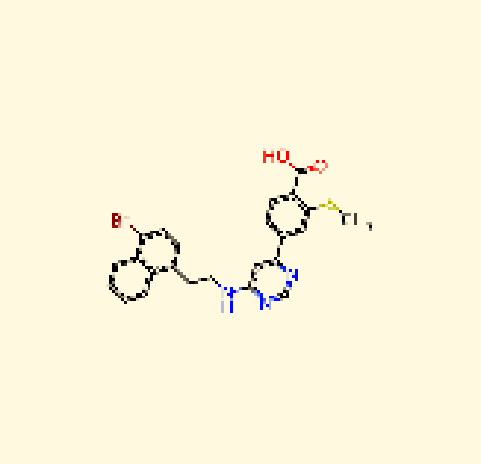 CSc1cc(-c2cc(NCCc3ccc(Br)c4ccccc34)ncn2)ccc1C(=O)O